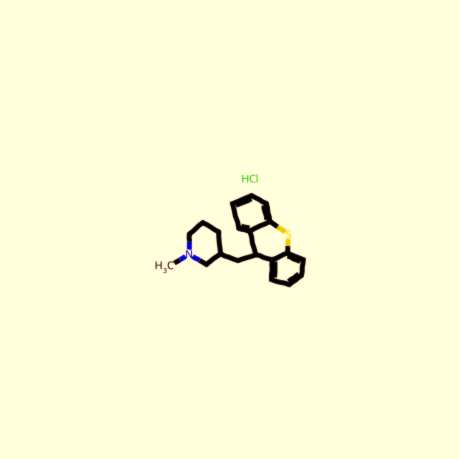 CN1CCCC(CC2c3ccccc3Sc3ccccc32)C1.Cl